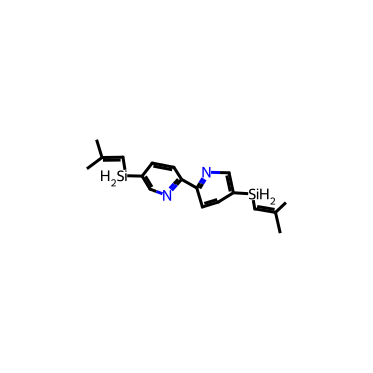 CC(C)=C[SiH2]c1ccc(-c2ccc([SiH2]C=C(C)C)cn2)nc1